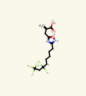 C=C(Cc1nc(CCCCCC(F)(F)CC(F)(F)F)no1)C(=O)O